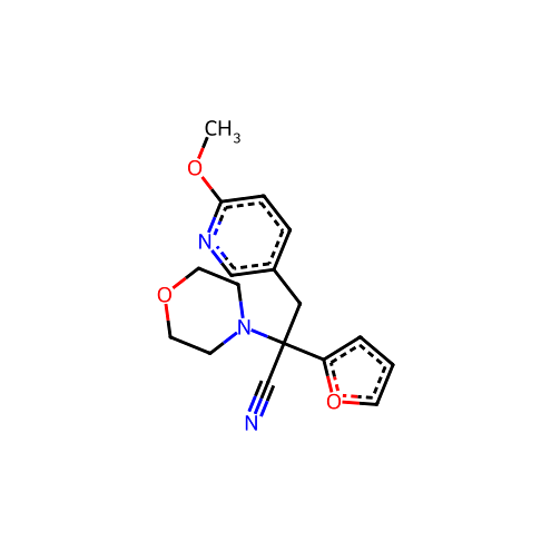 COc1ccc(CC(C#N)(c2ccco2)N2CCOCC2)cn1